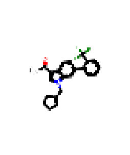 CC(=O)c1cn(CC2CCCC2)c2cc(-c3ccccc3C(F)(F)F)ccc12